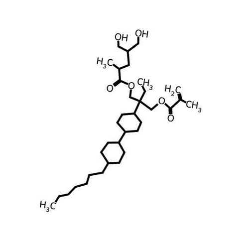 C=C(C)C(=O)OCC(CC)(COC(=O)C(C)CC(CO)CO)C1CCC(C2CCC(CCCCCCC)CC2)CC1